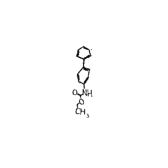 CCOC(=O)Nc1ccc(-c2c[c]ccc2)cc1